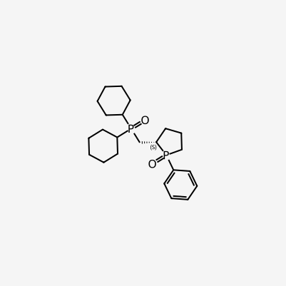 O=P(C[C@@H]1CCCP1(=O)c1ccccc1)(C1CCCCC1)C1CCCCC1